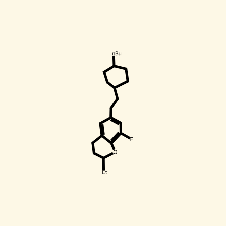 CCCCC1CCC(CCc2cc(F)c3c(c2)CCC(CC)O3)CC1